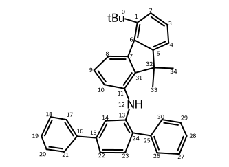 CC(C)(C)c1cccc2c1-c1cccc(Nc3cc(-c4ccccc4)ccc3-c3ccccc3)c1C2(C)C